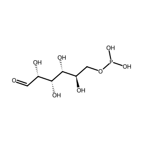 O=C[C@H](O)[C@@H](O)[C@H](O)[C@H](O)COP(O)O